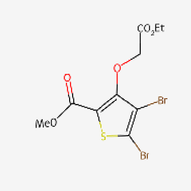 CCOC(=O)COc1c(C(=O)OC)sc(Br)c1Br